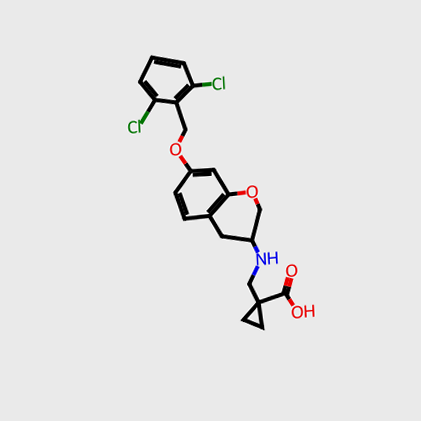 O=C(O)C1(CNC2COc3cc(OCc4c(Cl)cccc4Cl)ccc3C2)CC1